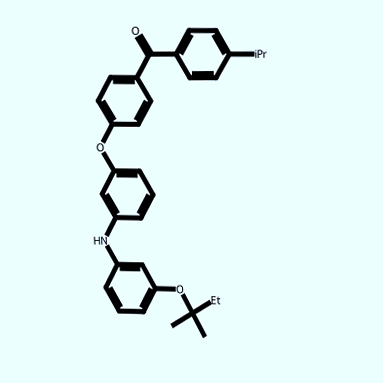 CCC(C)(C)Oc1cccc(Nc2cccc(Oc3ccc(C(=O)c4ccc(C(C)C)cc4)cc3)c2)c1